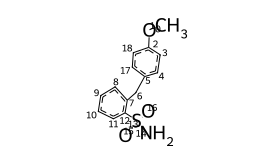 COc1ccc(Cc2ccccc2S(N)(=O)=O)cc1